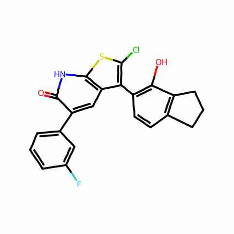 O=c1[nH]c2sc(Cl)c(-c3ccc4c(c3O)CCC4)c2cc1-c1cccc(F)c1